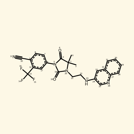 CC1(C)C(=O)N(c2ccc(C#N)c(C(F)(F)F)c2)C(=O)N1CCNc1cnc2ccccc2c1